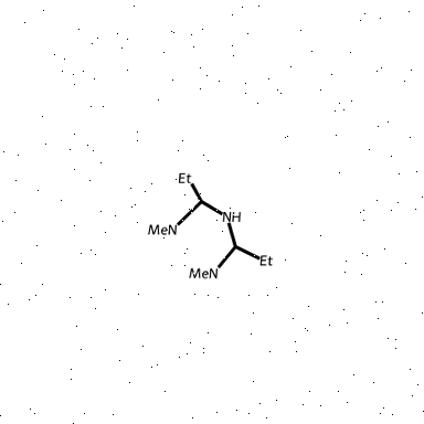 CCC(NC)NC(CC)NC